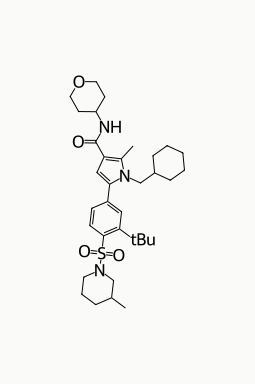 Cc1c(C(=O)NC2CCOCC2)cc(-c2ccc(S(=O)(=O)N3CCCC(C)C3)c(C(C)(C)C)c2)n1CC1CCCCC1